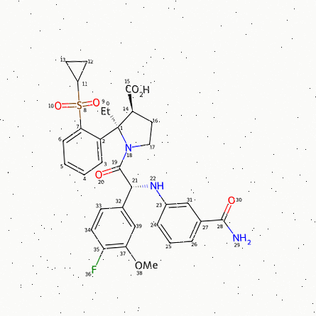 CC[C@]1(c2ccccc2S(=O)(=O)C2CC2)[C@@H](C(=O)O)CCN1C(=O)[C@H](Nc1cccc(C(N)=O)c1)c1ccc(F)c(OC)c1